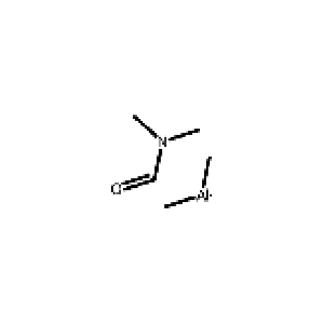 CN(C)C=O.[CH3][Al][CH3]